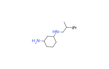 CC(C)C(C)CNC1CCCC(N)C1